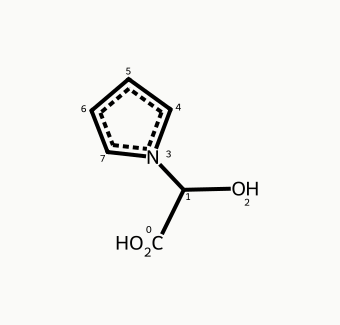 O=C(O)C(O)n1cccc1